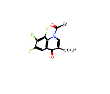 CCC(=O)n1cc(C(=O)O)c(=O)c2cc(F)c(F)c(F)c21